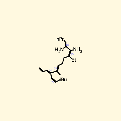 C=C/C=C(\C=C/C(C)CC)C(/C)=C/CC/C(CC)=C(N)\C(N)=C\CCC